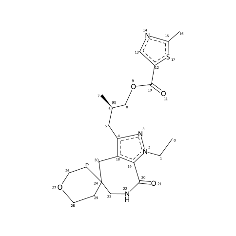 CCn1nc(C[C@@H](C)COC(=O)c2cnc(C)s2)c2c1C(=O)NCC1(CCOCC1)C2